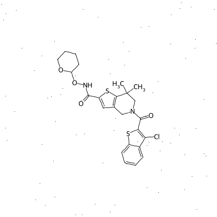 CC1(C)CN(C(=O)c2sc3ccccc3c2Cl)Cc2cc(C(=O)NOC3CCCCO3)sc21